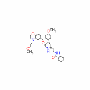 COCCCN1CCOc2ccc(CO[C@H]3CN[C@H](CCNC(=O)c4ccccc4)C[C@@H]3c3ccc(OC)cc3)cc21